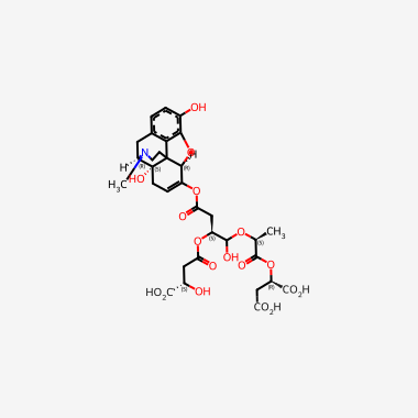 C[C@H](OC(O)[C@H](CC(=O)OC1=CC[C@@]2(O)[C@H]3Cc4ccc(O)c5c4C2(CCN3C)[C@H]1O5)OC(=O)C[C@H](O)C(=O)O)C(=O)O[C@H](CC(=O)O)C(=O)O